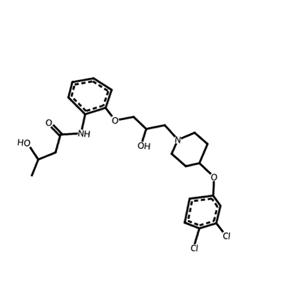 CC(O)CC(=O)Nc1ccccc1OCC(O)CN1CCC(Oc2ccc(Cl)c(Cl)c2)CC1